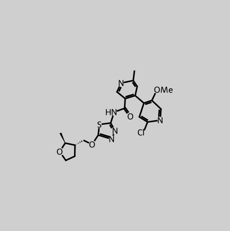 COc1cnc(Cl)cc1-c1cc(C)ncc1C(=O)Nc1nnc(OC[C@@H]2CCO[C@H]2C)s1